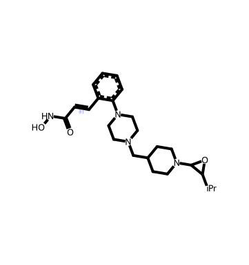 CC(C)C1OC1N1CCC(CN2CCN(c3ccccc3/C=C/C(=O)NO)CC2)CC1